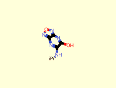 CC(C)Nc1nc2nonc2nc1O